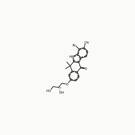 CC1(C)c2cc(OC[C@H](O)CO)ccc2C(=O)c2c1[nH]c1c(Br)c(C#N)ccc21